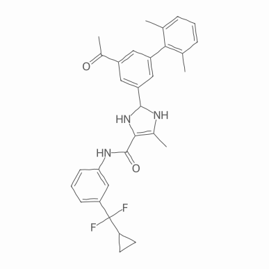 CC(=O)c1cc(-c2c(C)cccc2C)cc(C2NC(C)=C(C(=O)Nc3cccc(C(F)(F)C4CC4)c3)N2)c1